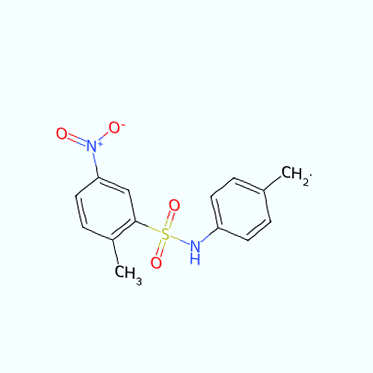 [CH2]c1ccc(NS(=O)(=O)c2cc([N+](=O)[O-])ccc2C)cc1